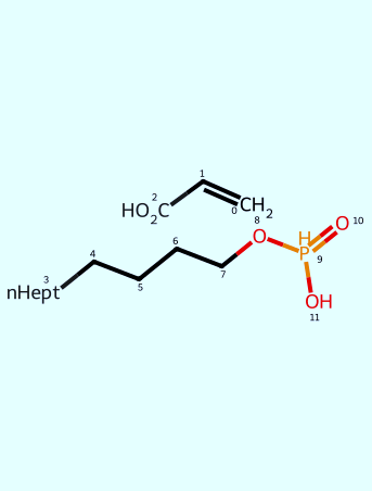 C=CC(=O)O.CCCCCCCCCCCO[PH](=O)O